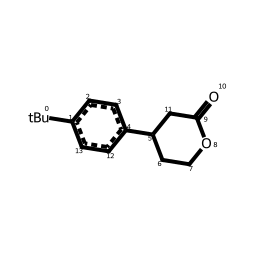 CC(C)(C)c1ccc(C2CCOC(=O)C2)cc1